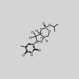 Cc1cn([C@@H]2O[C@@H]3COP(=O)(OC(C)C)O[C@H]3C2(Cl)Cl)c(=O)[nH]c1=O